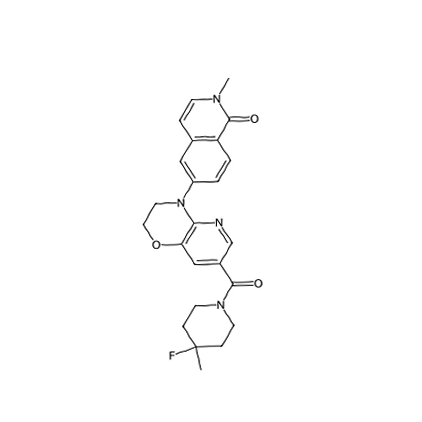 Cn1ccc2cc(N3CCOc4cc(C(=O)N5CCC(C)(F)CC5)cnc43)ccc2c1=O